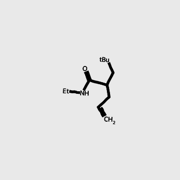 C=CCC(CC(C)(C)C)C(=O)NCC